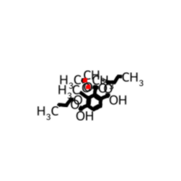 CCCCOC(C)(OCC)c1c(C(=O)O)ccc(C(=O)O)c1C(C)(OCC)OCCCC